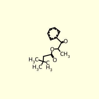 CC(OC(=O)CC(C)(C)C)C(=O)c1ccccc1